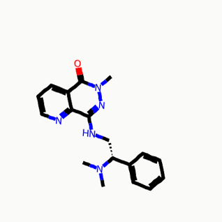 CN(C)[C@H](CNc1nn(C)c(=O)c2cccnc12)c1ccccc1